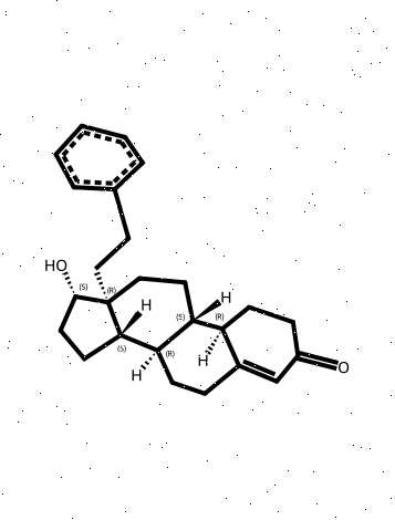 O=C1C=C2CC[C@@H]3[C@H](CC[C@]4(CCc5ccccc5)[C@@H](O)CC[C@@H]34)[C@H]2CC1